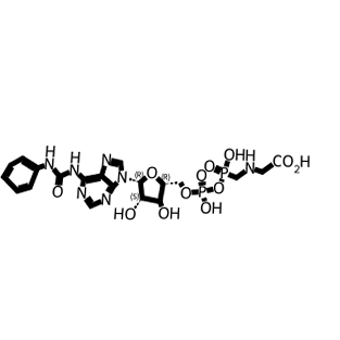 O=C(O)CNCP(=O)(O)OP(=O)(O)OC[C@H]1O[C@@H](n2cnc3c(NC(=O)Nc4ccccc4)ncnc32)[C@@H](O)C1O